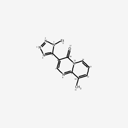 CCn1nnnc1-c1cnc2c(C)cccn2c1=O